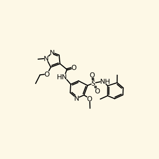 CCOc1c(C(=O)Nc2cnc(OC)c(S(=O)(=O)Nc3c(C)cccc3C)c2)cnn1C